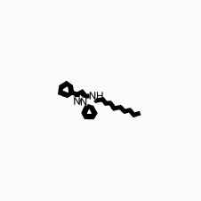 CCCCCCCCCCNc1cc(-c2ccccc2)nn1-c1ccccc1